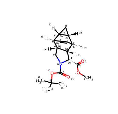 COC(=O)[C@H]1[C@H]2[C@H]3C=C[C@@H]([C@H]2CN1C(=O)OC(C)(C)C)[C@@H]1C[C@H]31